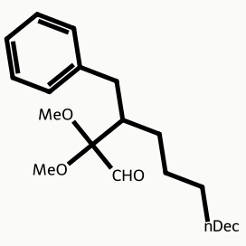 CCCCCCCCCCCCCC(Cc1ccccc1)C(C=O)(OC)OC